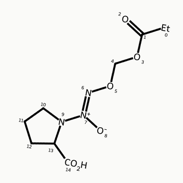 CCC(=O)OCON=[N+]([O-])N1CCCC1C(=O)O